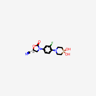 N#C[C@H]1CN(c2ccc(N3CCS(O)(O)CC3)c(F)c2)C(=O)O1